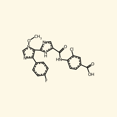 COn1cnc(-c2ccc(F)cc2)c1-c1ncc(C(=O)Nc2ccc(C(=O)O)cc2Cl)[nH]1